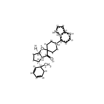 CC1([C@@H]2CC[C@H]3OC4(CCN(c5ccnc6ccnn56)CC4)C(=O)N23)C=CC=CC1